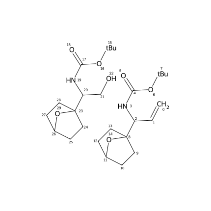 C=CC(NC(=O)OC(C)(C)C)C12CCC(CC1)O2.CC(C)(C)OC(=O)NC(CO)C12CCC(CC1)O2